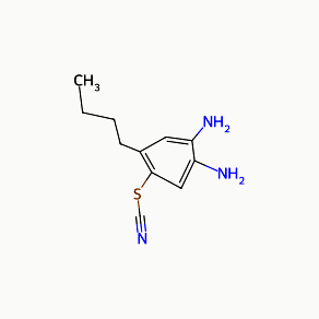 CCCCc1cc(N)c(N)cc1SC#N